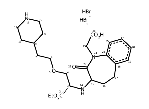 Br.Br.CCOC(=O)[C@H](COCCC1CCNCC1)NC1CCc2ccccc2N(CC(=O)O)C1=O